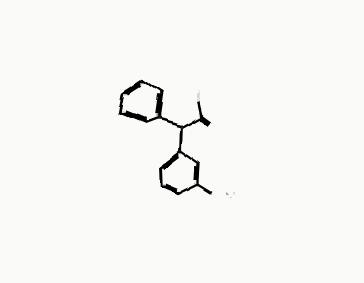 COc1cccc(C(C(=O)C(C)C)c2ccccc2)c1